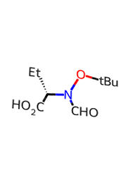 CC[C@@H](C(=O)O)N(C=O)OC(C)(C)C